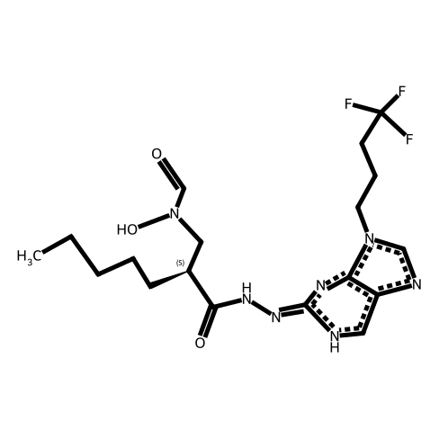 CCCCC[C@@H](CN(O)C=O)C(=O)NN=c1nc2c(c[nH]1)ncn2CCCC(F)(F)F